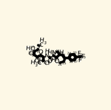 CSC1O[C@H]([C@H](NC(=O)[C@H]2NC[C@@H]3C=C(c4ccc(C(F)(F)F)cc4)CCO[C@@H]23)[C@H](C)Cl)C(O)C2O[C@]12O